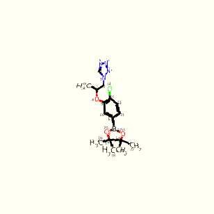 CC(Cn1cnnn1)Oc1cc(B2OC(C)(C)C(C)(C)O2)ccc1Cl